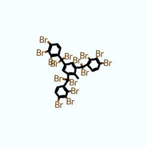 Cc1c(C(Br)(Br)c2ccc(Br)c(Br)c2Br)cc(C(Br)(Br)c2ccc(Br)c(Br)c2Br)cc1C(Br)(Br)c1ccc(Br)c(Br)c1Br